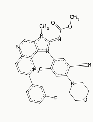 COC(=O)N=c1n(C)c2cnc3ccc(-c4cccc(F)c4)cc3c2n1-c1cc(C#N)c(N2CCOCC2)cc1C